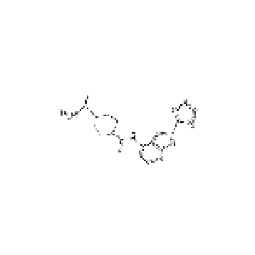 CC(N)C1CCC(C(=O)Nc2ccnc3[nH]c(-c4nncs4)cc23)CC1